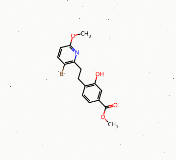 COC(=O)c1ccc(CCc2nc(OC)ccc2Br)c(O)c1